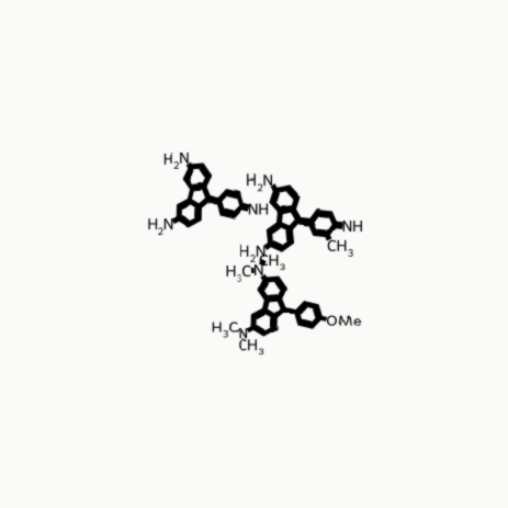 CC1=CC(=C2c3ccc(N)cc3-c3cc(N)ccc32)C=CC1=N.COc1ccc(C2c3ccc(N(C)C)cc3-c3cc(N(C)C)ccc32)cc1.N=C1C=CC(=C2c3ccc(N)cc3-c3cc(N)ccc32)C=C1